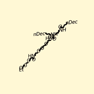 CCCCCCCCCCCCCC(=O)NCCCC[C@@H](NC(=O)CCCCCCCCCCCCC)C(=O)NCCCOCCOCCOCCCNC(=O)CCOCCOCCOCC